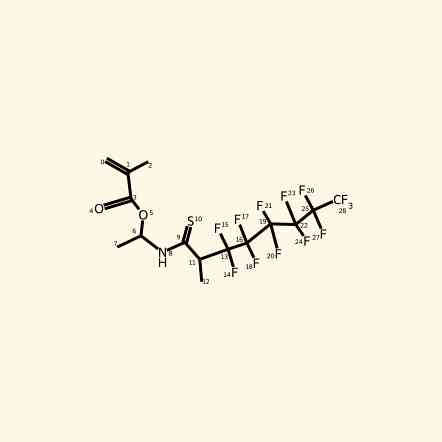 C=C(C)C(=O)OC(C)NC(=S)C(C)C(F)(F)C(F)(F)C(F)(F)C(F)(F)C(F)(F)C(F)(F)F